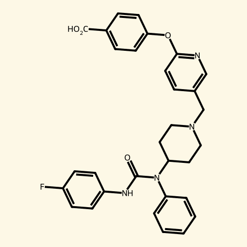 O=C(O)c1ccc(Oc2ccc(CN3CCC(N(C(=O)Nc4ccc(F)cc4)c4ccccc4)CC3)cn2)cc1